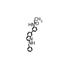 C=CC(=O)Nc1cccc(-c2ccc3ccc(NCc4ccccc4)nc3c2)c1